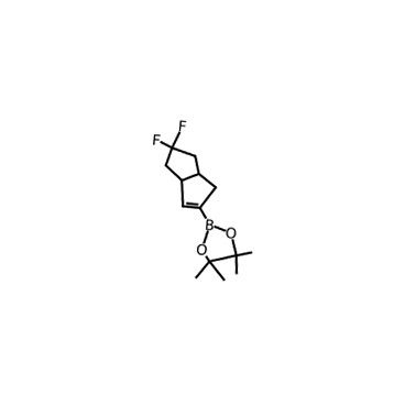 CC1(C)OB(C2=CC3CC(F)(F)CC3C2)OC1(C)C